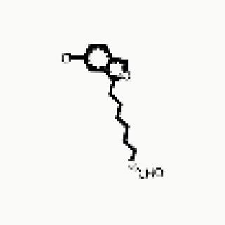 O=COCCCCCCc1occ2ccc(Cl)cc12